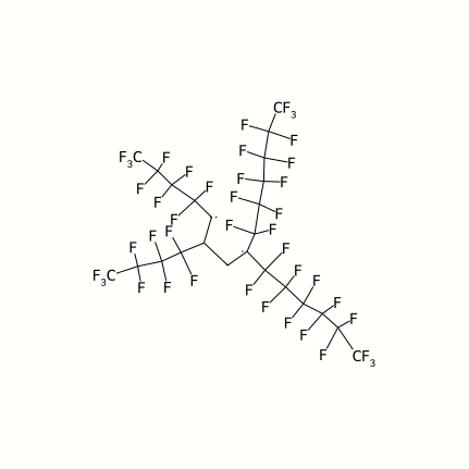 FC(F)(F)C(F)(F)C(F)(F)C(F)(F)[CH]C(C[C](C(F)(F)C(F)(F)C(F)(F)C(F)(F)C(F)(F)C(F)(F)F)C(F)(F)C(F)(F)C(F)(F)C(F)(F)C(F)(F)C(F)(F)F)C(F)(F)C(F)(F)C(F)(F)C(F)(F)F